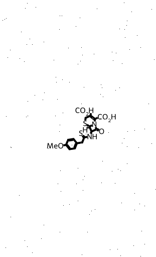 COc1ccc(CC(=S)NC2C(=O)N3C(C(=O)O)=C(C(=O)O)CS[C@@H]23)cc1